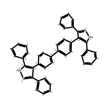 c1ccc(-c2n[nH]c(-c3ccccc3)c2-c2ccc(-c3ccc(-c4c(-c5ccccc5)n[nH]c4-c4ccccc4)cc3)cc2)cc1